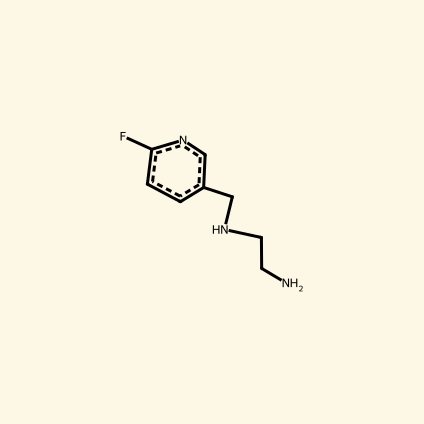 NCCNCc1ccc(F)nc1